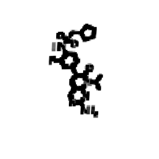 CC(C)n1c(=O)c(-c2ccc(NS(=O)(=O)CC3CCCC3)c(F)c2)cc2cnc(N)nc21